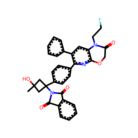 CC1(O)CC(c2ccc(-c3nc4c(cc3-c3ccccc3)N(CCF)C(=O)CO4)cc2)(N2C(=O)c3ccccc3C2=O)C1